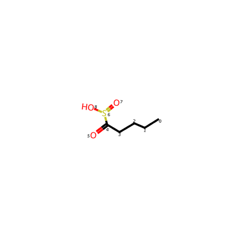 CCCCC(=O)S(=O)O